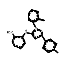 Cc1ccc(-c2cc(Nc3ccccc3C(=O)O)n(-c3ccccc3C)n2)cc1